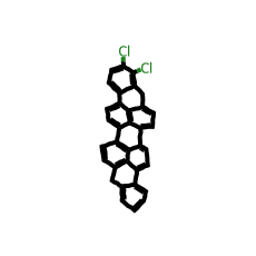 Clc1ccc2c(c1Cl)Cc1ccc3c4ccc5c6c(ccc(c7ccc-2c1c37)c64)Cc1ccccc1-5